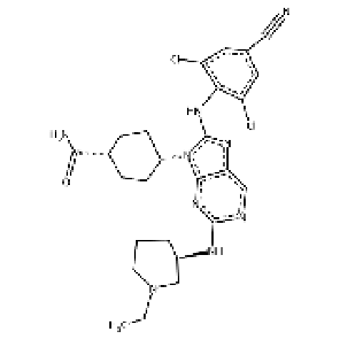 CCN1CCC[C@@H](Nc2ncc3nc(Nc4c(Cl)cc(C#N)cc4Cl)n([C@H]4CC[C@@H](C(N)=O)CC4)c3n2)C1